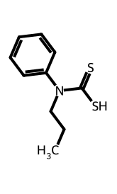 CCCN(C(=S)S)c1ccccc1